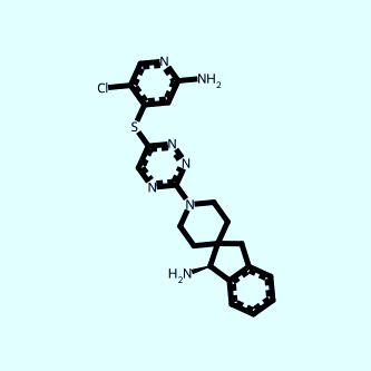 Nc1cc(Sc2cnc(N3CCC4(CC3)Cc3ccccc3[C@H]4N)nn2)c(Cl)cn1